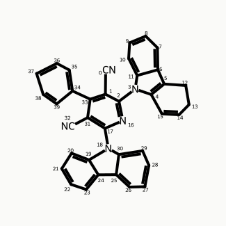 N#Cc1c(-n2c3c(c4ccccc42)CCC=C3)nc(-n2c3ccccc3c3ccccc32)c(C#N)c1-c1ccccc1